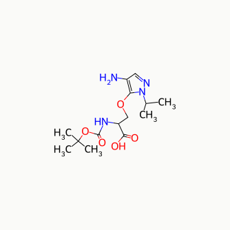 CC(C)n1ncc(N)c1OCC(NC(=O)OC(C)(C)C)C(=O)O